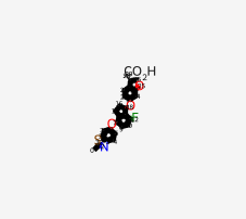 Cc1nc2ccc(Oc3ccc(F)c4c3CC[C@H]4Oc3ccc4c(c3)OC[C@H]4CC(=O)O)cc2s1